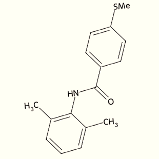 CSc1ccc(C(=O)Nc2c(C)cccc2C)cc1